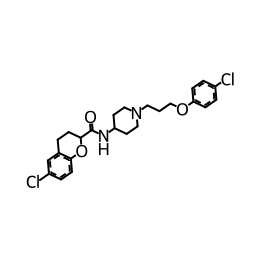 O=C(NC1CCN(CCCOc2ccc(Cl)cc2)CC1)C1CCc2cc(Cl)ccc2O1